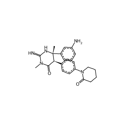 CN1C(=N)N[C@](C)(c2cccc(N)c2)[C@@H](c2ccc(N3CCCCC3=O)cc2)C1=O